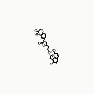 O=C1CSc2ccc(N3CC(CCNC[C@H]4Cc5c(F)ccc6ccc(=O)n4c56)OC3=O)cc2N1